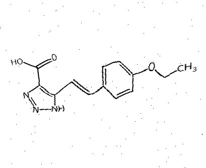 CCOc1ccc(/C=C/c2[nH]nnc2C(=O)O)cc1